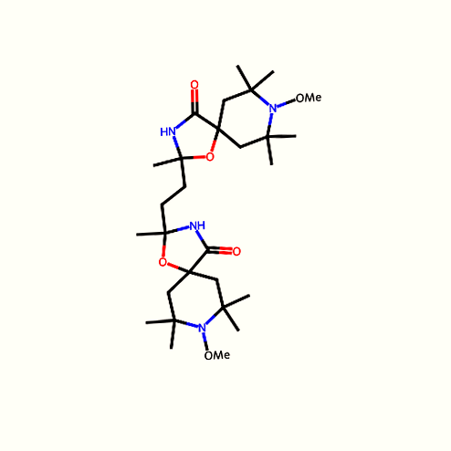 CON1C(C)(C)CC2(CC1(C)C)OC(C)(CCC1(C)NC(=O)C3(CC(C)(C)N(OC)C(C)(C)C3)O1)NC2=O